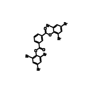 O=C(Oc1c(Br)cc(Br)cc1Br)c1cccc(C(=O)Oc2c(Br)cc(Br)cc2Br)c1